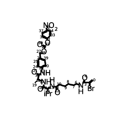 C=C(Br)C(=O)NCCCCCC(=O)NC(C(=O)N[C@@H](C)C(=O)Nc1ccc(COC(=O)Oc2ccc([N+](=O)[O-])cc2)cc1)C(C)C